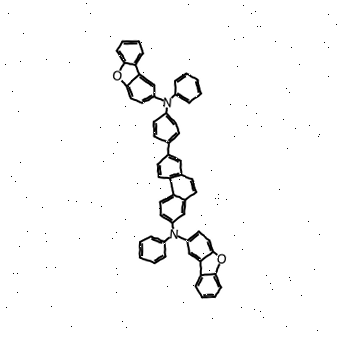 c1ccc(N(c2ccc(-c3ccc4c(ccc5cc(N(c6ccccc6)c6ccc7oc8ccccc8c7c6)ccc54)c3)cc2)c2ccc3oc4ccccc4c3c2)cc1